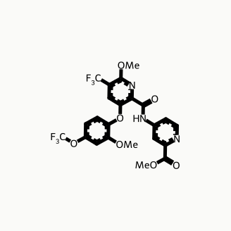 COC(=O)c1cc(NC(=O)c2nc(OC)c(C(F)(F)F)cc2Oc2ccc(OC(F)(F)F)cc2OC)ccn1